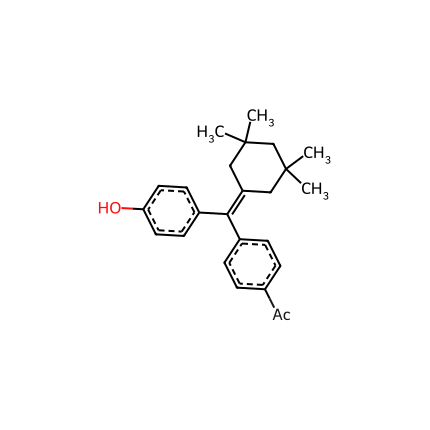 CC(=O)c1ccc(C(=C2CC(C)(C)CC(C)(C)C2)c2ccc(O)cc2)cc1